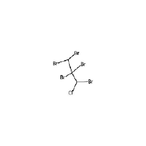 ClC(Br)C(Br)(Br)C(Br)Br